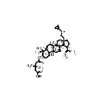 C=C(C)[C@@H]1CC[C@]2(CCNC3CC3)CC[C@]3(C)[C@H](CC[C@@H]4[C@@]5(C)CC[C@H](OC(=O)CC(C)(C)CC(=O)O)C(C)(C)[C@@H]5CC[C@]43C)[C@@H]12